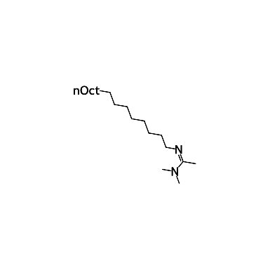 CCCCCCCCCCCCCCCCN=C(C)N(C)C